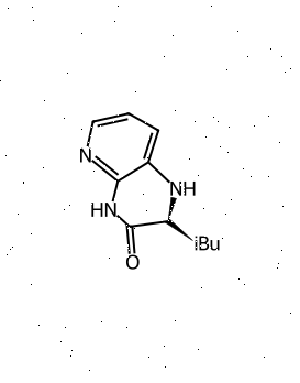 CC[C@H](C)[C@@H]1Nc2cccnc2NC1=O